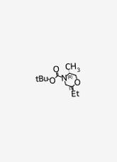 CC[C@H]1CN(C(=O)OC(C)(C)C)[C@H](C)CO1